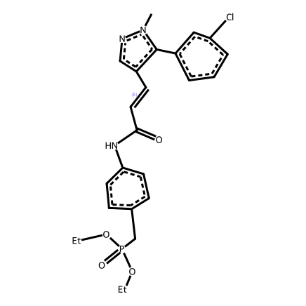 CCOP(=O)(Cc1ccc(NC(=O)/C=C/c2cnn(C)c2-c2cccc(Cl)c2)cc1)OCC